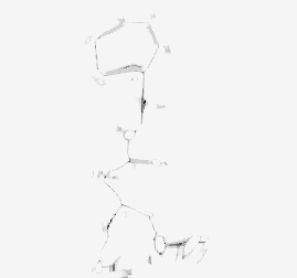 CC[C@H](COC)NC(=O)OCc1ccccc1